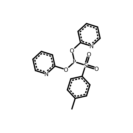 Cc1ccc(S(=O)(=O)P(Oc2ccccn2)Oc2ccccn2)cc1